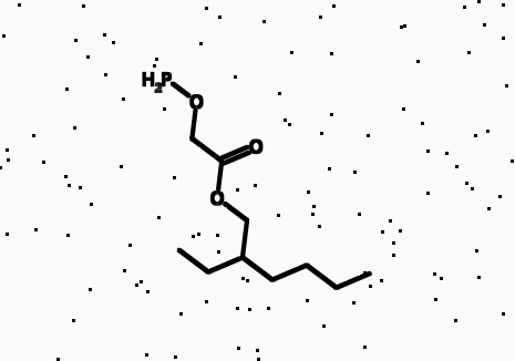 CCCCC(CC)COC(=O)COP